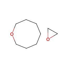 C1CCCOCCC1.C1CO1